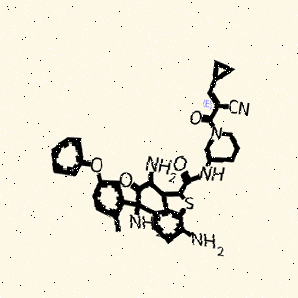 Cc1ccc(Oc2ccccc2)cc1C1(N)C(=O)C(N)C2c3c1ccc(N)c3SC2C(=O)NC1CCCN(C(=O)/C(C#N)=C/C2CC2)C1